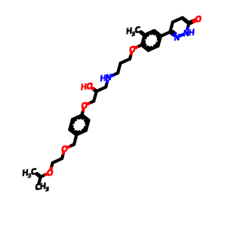 Cc1cc(C2=NNC(=O)CC2)ccc1OCCCNCC(O)COc1ccc(COCCOC(C)C)cc1